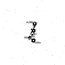 COc1ccc(-n2nc(C(C)(C)C)cc2NC(=O)Nc2ccc(OCc3ccnc(NC(C)=O)c3)c(C)c2C)cc1